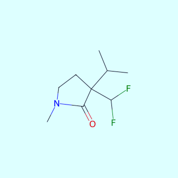 CC(C)C1(C(F)F)CCN(C)C1=O